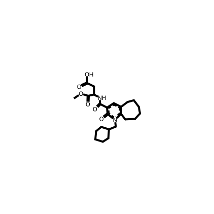 COC(=O)C(CC(=O)O)NC(=O)c1cc2c(n(CC3CCCCC3)c1=O)CCCCCC2